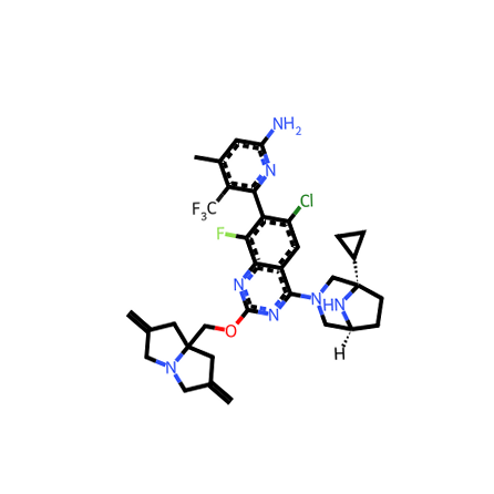 C=C1CN2CC(=C)CC2(COc2nc(N3C[C@@H]4CC[C@](C5CC5)(C3)N4)c3cc(Cl)c(-c4nc(N)cc(C)c4C(F)(F)F)c(F)c3n2)C1